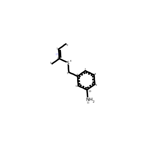 C/C=C(/C)SCc1cccc(N)c1